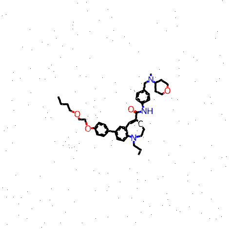 CCCCOCCOc1ccc(-c2ccc3c(c2)C=C(C(=O)Nc2ccc(CN(C)C4CCOCC4)cc2)CCCN3CCC)cc1